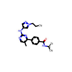 CC[C@@H](C#N)NC(=O)c1ccc(-c2nc(Nc3cnn(CCC#N)c3)ncc2C)cc1